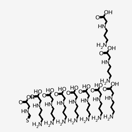 NCCCNCC(=O)O.NCCCNCC(=O)O.NCCCNCC(=O)O.NCCCNCC(=O)O.NCCCNCC(=O)O.NCCCNCC(=O)O.NCCCNCC(=O)O.NCCCNCC(=O)O.NCCCNCC(=O)O.O=C(O)CNC=S